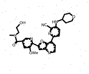 COc1cc(C(=O)N(C)CCO)cnc1-c1cc2nccc(-c3ccc(NC4CCOCC4)c(C#N)n3)c2o1